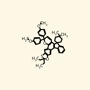 CCC1(CC)Oc2cc3c4c(c5c(c3cc2S1)OC(c1ccc(OC)cc1)(c1ccc(OC)cc1)C=C5)C1(CCC(C)(C)CC1)c1ccccc1-4